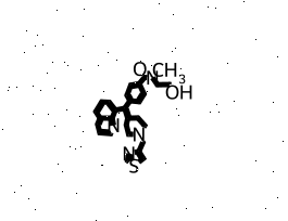 CN(CCO)C(=O)c1ccc(C(=C2CCN(Cc3cscn3)CC2)c2cccc3cccnc23)cc1